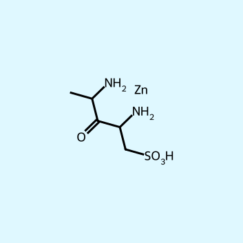 CC(N)C(=O)C(N)CS(=O)(=O)O.[Zn]